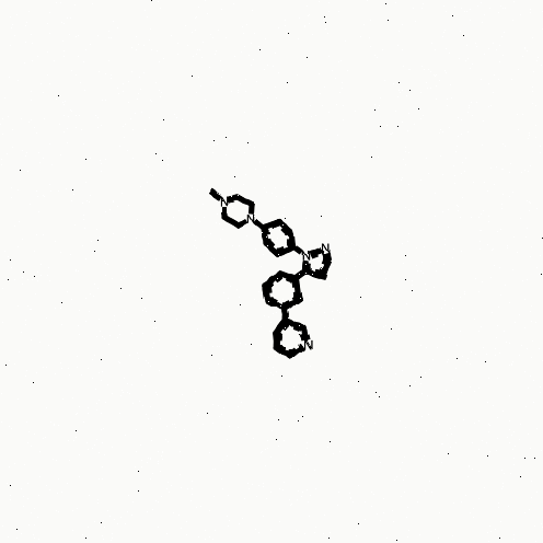 CN1CCN(c2ccc(-n3nccc3-c3cccc(-c4cccnc4)c3)cc2)CC1